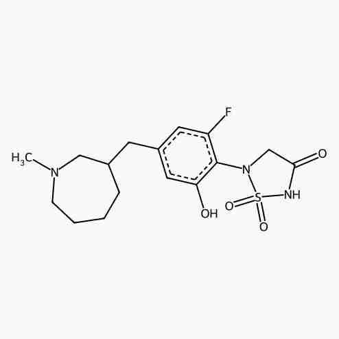 CN1CCCCC(Cc2cc(O)c(N3CC(=O)NS3(=O)=O)c(F)c2)C1